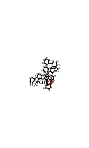 CC1(C)c2ccccc2-c2ccc(N(c3ccc4c(c3)C3(c5ccccc5-c5ccccc5-4)c4ccccc4-c4c3cc3ccc5cccc6ccc4c3c56)c3ccc4oc5ccccc5c4c3)cc21